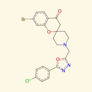 O=C1CC2(CCN(Cc3nnc(-c4ccc(Cl)cc4)o3)CC2)Oc2cc(Br)ccc21